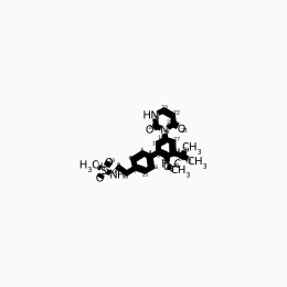 COc1c(-c2ccc(CCNS(C)(=O)=O)cc2)cc(-n2c(=O)cc[nH]c2=O)cc1C(C)(C)C